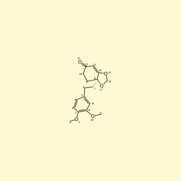 COc1ccc(CC[C@]23CCC(=O)C=C2OCO3)cc1OC